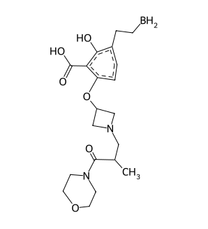 BCCc1ccc(OC2CN(CC(C)C(=O)N3CCOCC3)C2)c(C(=O)O)c1O